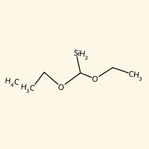 C.CCOC([SiH3])OCC